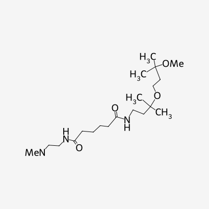 CNCCNC(=O)CCCCC(=O)NCCC(C)(C)OCCC(C)(C)OC